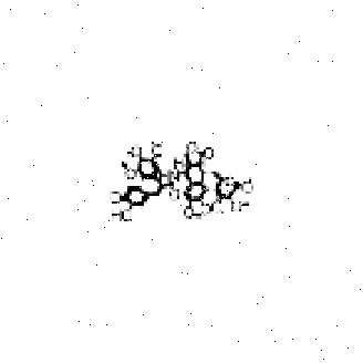 COc1ccc(/C=C(/C(=O)N[C@@H]2c3cc4c(cc3[C@@H](Cc3cc(OC)c(OC)c(OC)c3)[C@H]3C(=O)OC[C@@H]32)OCO4)c2cc(OC)c(OC)c(OC)c2)cc1O